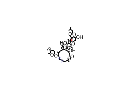 COC1C(O)CC(=O)OC(C)C/C=C/C=C/C(OC2CCC(N(C)C)C(C)O2)C(C)CC(CC=O)C1OC1OC(C)C(OC2CC(O)=C(OC(=O)CC(C)C)C(C)O2)C(N(C)C)C1O